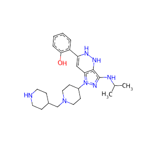 CC(C)Nc1nn(C2CCN(CC3CCNCC3)CC2)c2c1NNC(c1ccccc1O)=C2